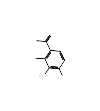 O=C(Cl)c1ccc(O)c(O)c1Cl